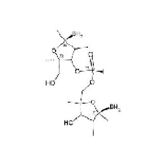 B[C@]1(C)OC(C)(CO[P@](=O)(I)OC2C(C)[C@@](B)(C)O[C@]2(C)CO)C(O)C1C